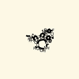 CCCNC[C@]1(O)[C@H](C)O[C@@H](O[C@H]2[C@H](C)[C@@H](O[C@@H]3O[C@H](C)C[C@H](N(C)S(=O)(=O)c4ccc(F)c(Cl)c4)[C@H]3Oc3ccc(OC)c(OC)c3)[C@](C)(O)C[C@@H](C)CN[C@H](C)[C@@H](O)[C@](C)(O)[C@@H](CC)OC(=O)[C@@H]2C)C[C@@]1(C)OC